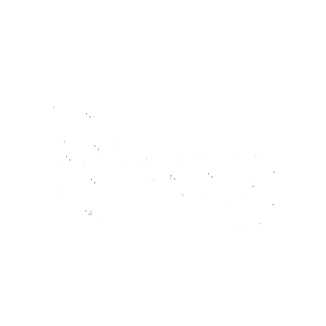 NC(=O)Nc1nc2cccnc2n1CCCCN1CCN(c2cccc3c2OCCC3)CC1